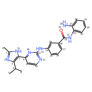 Cc1nc(C(C)C)c(-c2ccnc(Nc3cccc(C(=O)Nc4ccccc4N)c3)n2)[nH]1